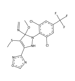 C=NC1(OC)C(SC)=C(c2ncon2)NN1c1c(Cl)cc(C(F)(F)F)cc1Cl